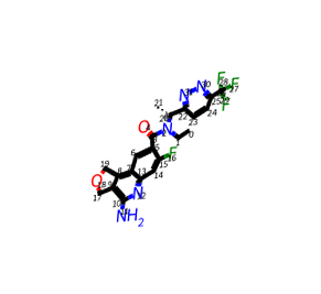 CCN(C(=O)c1cc2c3c(c(N)nc2cc1F)COC3)[C@H](C)c1ccc(C(F)(F)F)nn1